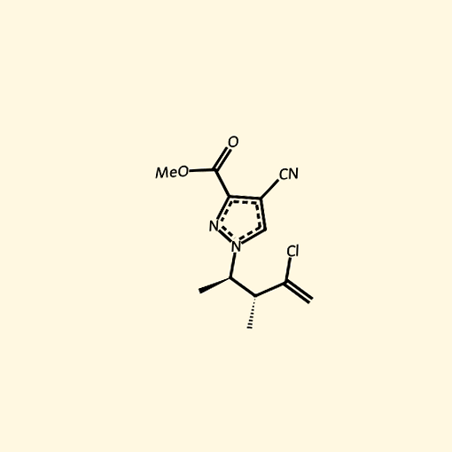 C=C(Cl)[C@H](C)[C@@H](C)n1cc(C#N)c(C(=O)OC)n1